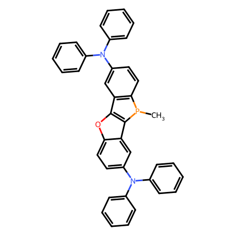 Cp1c2ccc(N(c3ccccc3)c3ccccc3)cc2c2oc3ccc(N(c4ccccc4)c4ccccc4)cc3c21